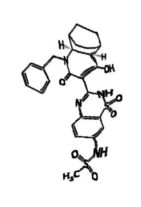 CS(=O)(=O)Nc1ccc2c(c1)S(=O)(=O)NC(C1=C(O)[C@@H]3C4CCC(CC4)[C@@H]3N(Cc3ccccc3)C1=O)=N2